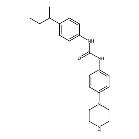 CCC(C)c1ccc(NC(=O)Nc2ccc(N3CCNCC3)cc2)cc1